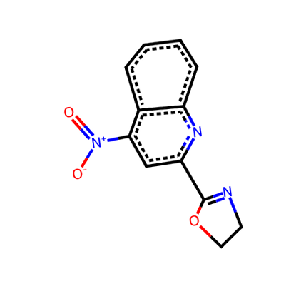 O=[N+]([O-])c1cc(C2=NCCO2)nc2ccccc12